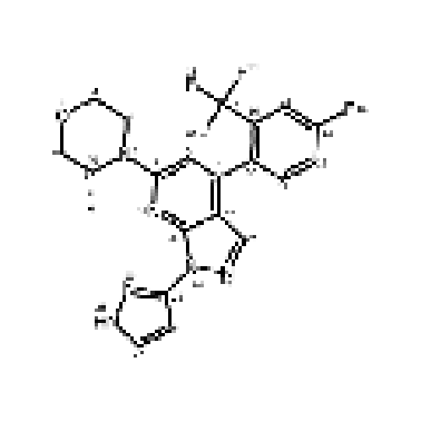 C[C@@H]1COCCN1c1cc(-c2ccc(F)cc2C(F)(F)F)c2cnn(-c3cc[nH]n3)c2n1